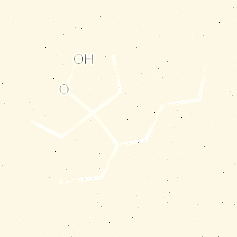 CCCCC(CC)C(CC)(CC)OO